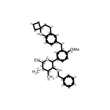 CC[C@H]1OC(c2ccc(OC)c(Cc3ccc4c(c3)CCC3(CCC3)O4)c2)C(OCc2ccccc2)C(C)[C@@H]1C